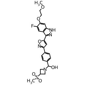 COCCOc1cc2[nH]nc(-c3cc(-c4ccc(C(O)N5CC(S(C)(=O)=O)C5)cc4)no3)c2cc1F